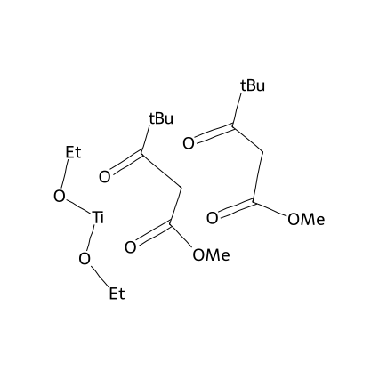 CC[O][Ti][O]CC.COC(=O)CC(=O)C(C)(C)C.COC(=O)CC(=O)C(C)(C)C